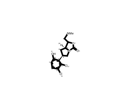 CNCC1OC(=O)N2C[C@@H](c3c(O)ccc(Cl)c3Cl)C[C@@H]12